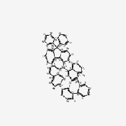 c1ccc(-c2ccccc2-c2ccc(N(c3cccc4c3-c3ccccc3C4(c3ccccc3)c3ccccc3)c3cccc4ccccc34)c3ccccc23)cc1